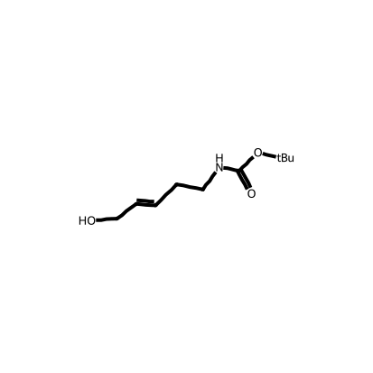 CC(C)(C)OC(=O)NCC/C=C/CO